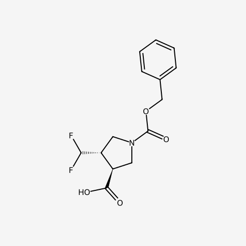 O=C(O)[C@@H]1CN(C(=O)OCc2ccccc2)C[C@H]1C(F)F